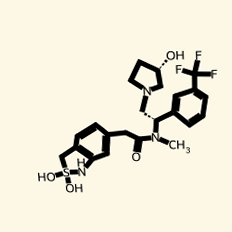 CN(C(=O)Cc1ccc2c(c1)NS(O)(O)C2)[C@H](CN1CC[C@H](O)C1)c1cccc(C(F)(F)F)c1